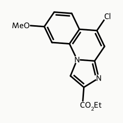 CCOC(=O)c1cn2c(cc(Cl)c3ccc(OC)cc32)n1